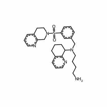 NCCCCN(Cc1cccc(S(=O)(=O)N2CCc3cccnc3C2)c1)C1CCCc2cccnc21